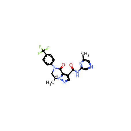 Cc1cncc(NC(=O)c2cnn3c2C(=O)N(c2ccc(C(F)(F)F)cc2)C[C@@H]3C)n1